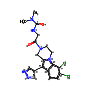 CN(C)C(=O)NCC(=O)N1CCn2c(c(-c3cn[nH]c3)c3ccc(Cl)c(Cl)c32)C1